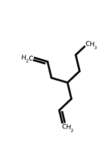 C=CCC(CC=C)CCC